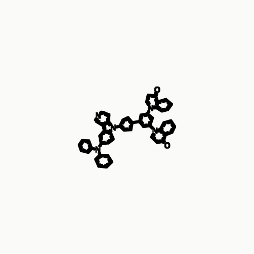 O=c1ccn(-c2cc(-c3ccc(-n4c5ccncc5c5cc(N(c6ccccc6)c6ccccc6)ccc54)cc3)cc(-n3ccc(=O)c4ccccc43)c2)c2ccccc12